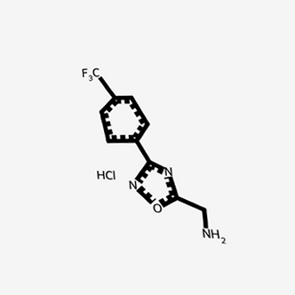 Cl.NCc1nc(-c2ccc(C(F)(F)F)cc2)no1